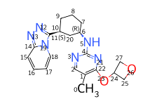 Cc1cnc(N[C@@H]2CCC[C@H](c3nnc4ccccn34)C2)nc1OC1COC1